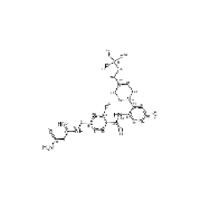 N=C(CC(N)=O)NCc1ccc(C(=O)Nc2ccc(Cl)cc2N2CCN(CCC(F)(F)F)CC2)c(F)c1